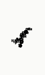 COC(=O)[C@H](Cc1ccc(OC(C)(C)C)cc1)NC(=O)c1cc(C(=O)OP(F)P)c2cc(-c3cccs3)ccc2n1